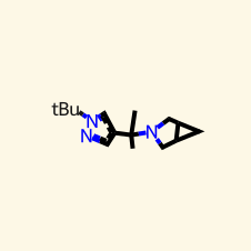 CC(C)(c1cnn(C(C)(C)C)c1)N1CC2CC2C1